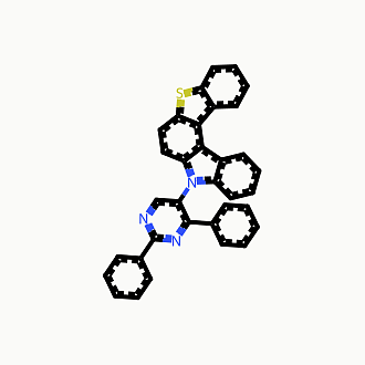 c1ccc(-c2ncc(-n3c4ccccc4c4c5c(ccc43)sc3ccccc35)c(-c3ccccc3)n2)cc1